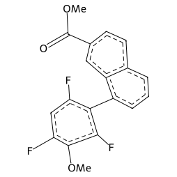 COC(=O)c1ccc2cccc(-c3c(F)cc(F)c(OC)c3F)c2c1